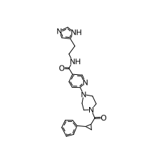 O=C(NCCc1cnc[nH]1)c1ccc(N2CCN(C(=O)C3CC3c3ccccc3)CC2)nc1